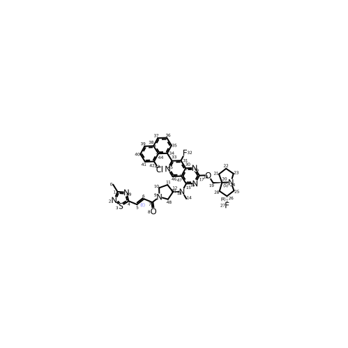 Cc1nsc(/C=C/C(=O)N2CC[C@@H](N(C)c3nc(OC[C@@]45CCCN4C[C@H](F)C5)nc4c(F)c(-c5cccc6cccc(Cl)c56)ncc34)C2)n1